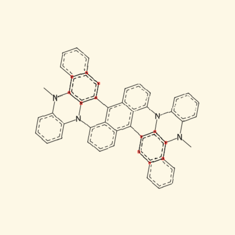 CN1c2ccccc2N(c2cccc3c(-c4ccc5ccccc5c4)c4c(N5c6ccccc6N(C)c6ccccc65)cccc4c(-c4ccc5ccccc5c4)c23)c2ccccc21